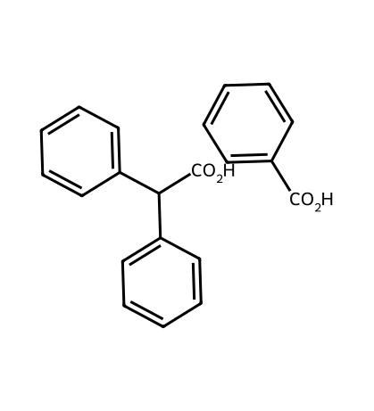 O=C(O)C(c1ccccc1)c1ccccc1.O=C(O)c1ccccc1